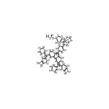 C=Cc1ccc(C23CC4CC(C2)CC(c2ccc(-n5c6ccc(N(c7ccccc7)c7ccc8c(c7)CC8)cc6c6cc(N(c7ccccc7)c7ccc8c(c7)CC8)ccc65)cc2)(C4)C3)cc1